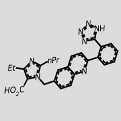 CCCc1nc(CC)c(C(=O)O)n1Cc1ccc2nc(-c3ccccc3-c3nnn[nH]3)ccc2c1